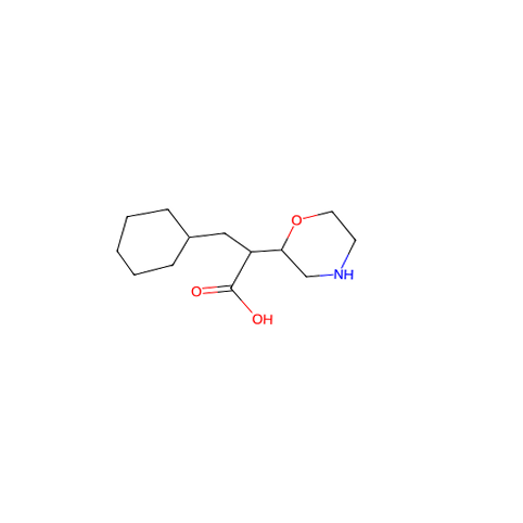 O=C(O)C(CC1CCCCC1)C1CNCCO1